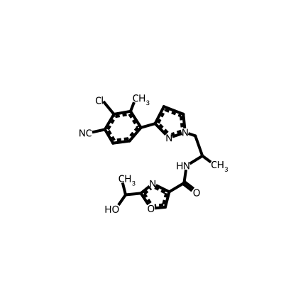 Cc1c(-c2ccn(CC(C)NC(=O)c3coc(C(C)O)n3)n2)ccc(C#N)c1Cl